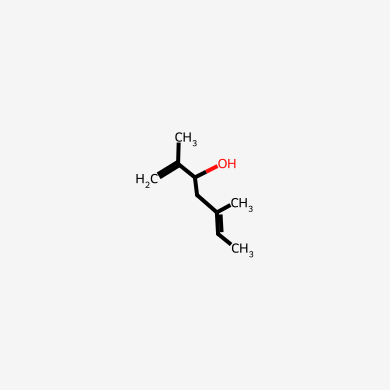 C=C(C)C(O)C/C(C)=C/C